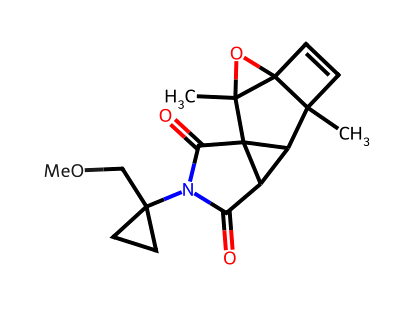 COCC1(N2C(=O)C3C4C5(C)C=CC56OC6(C)C34C2=O)CC1